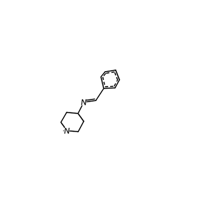 C(=NC1CC[N]CC1)c1ccccc1